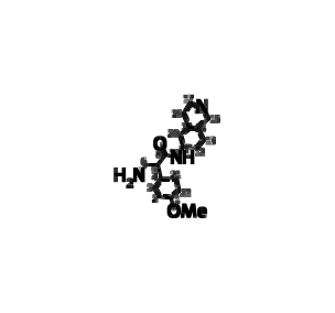 COc1ccc(C(CN)C(=O)Nc2ccc3cnccc3c2)cc1